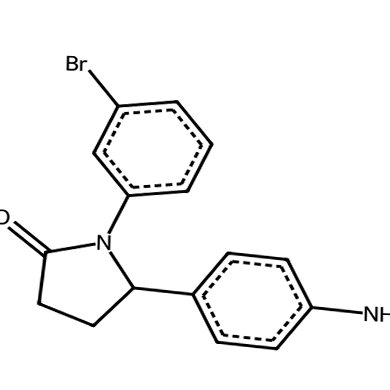 Nc1ccc(C2CCC(=O)N2c2cccc(Br)c2)cc1